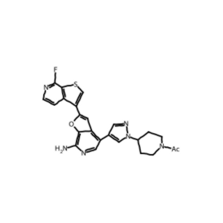 CC(=O)N1CCC(n2cc(-c3cnc(N)c4oc(-c5csc6c(F)nccc56)cc34)cn2)CC1